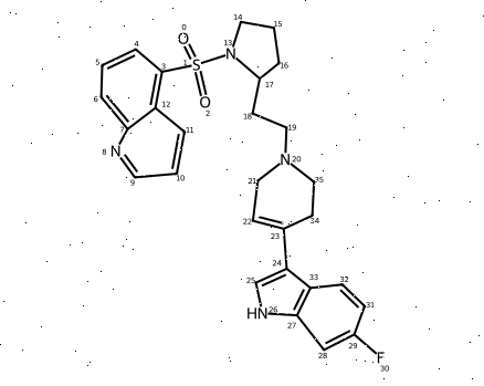 O=S(=O)(c1cccc2ncccc12)N1CCCC1CCN1CC=C(c2c[nH]c3cc(F)ccc23)CC1